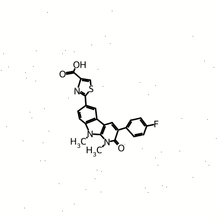 Cn1c(=O)c(-c2ccc(F)cc2)cc2c3cc(-c4nc(C(=O)O)cs4)ccc3n(C)c21